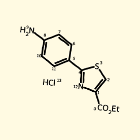 CCOC(=O)c1csc(-c2ccc(N)cc2)n1.Cl